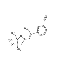 CC(=CB1OC(C)(C)C(C)(C)O1)c1cccc(C#N)c1